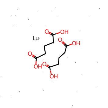 O=C(O)CCCC(=O)O.O=C(O)CCCC(=O)O.[Lu]